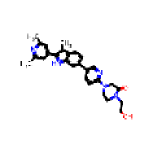 Cc1cc(-c2[nH]c3cc(-c4ccc(N5CCN(CCO)C(=O)C5)nc4)ccc3c2C)cc(C)n1